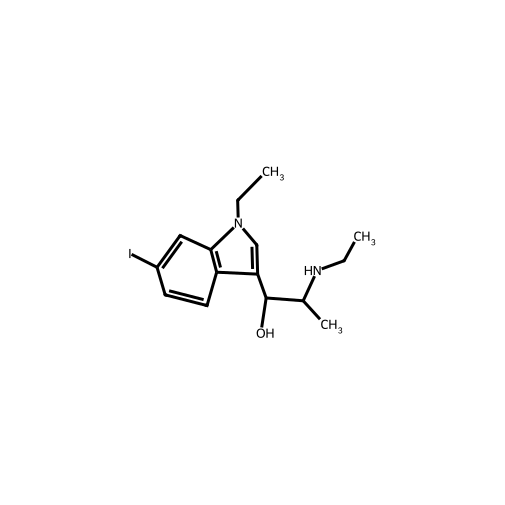 CCNC(C)C(O)c1cn(CC)c2cc(I)ccc12